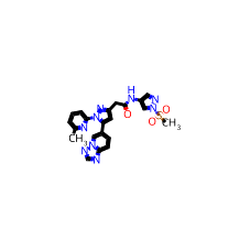 Cc1cccc(-n2nc(CC(=O)Nc3cnn(S(C)(=O)=O)c3)cc2-c2ccc3ncnn3c2)n1